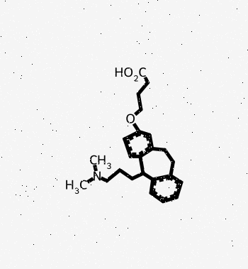 CN(C)CCCC1c2ccccc2CCc2cc(OCCCC(=O)O)ccc21